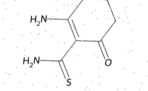 NC(=S)C1=C(N)CCCC1=O